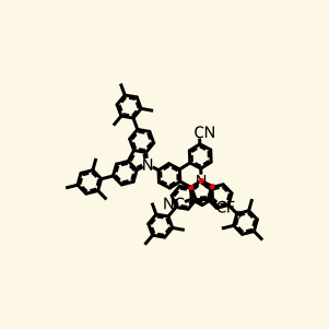 Cc1cc(C)c(-c2ccc3c(c2)c2cc(-c4c(C)cc(C)cc4C)ccc2n3-c2ccc(-c3ccc(C(F)(F)F)cc3C#N)c(-c3cc(C#N)ccc3-n3c4ccc(-c5c(C)cc(C)cc5C)cc4c4cc(-c5c(C)cc(C)cc5C)ccc43)c2)c(C)c1